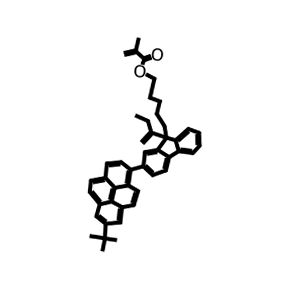 C=C(C)C(=O)OCCCCCC1(C(=C)CC)c2ccccc2-c2ccc(-c3ccc4ccc5cc(C(C)(C)C)cc6ccc3c4c56)cc21